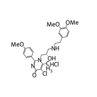 COc1ccc(-c2nc(=O)c(Cl)c(C)n2C[C@@H](O)CNCCc2ccc(OC)c(OC)c2)cc1.Cl